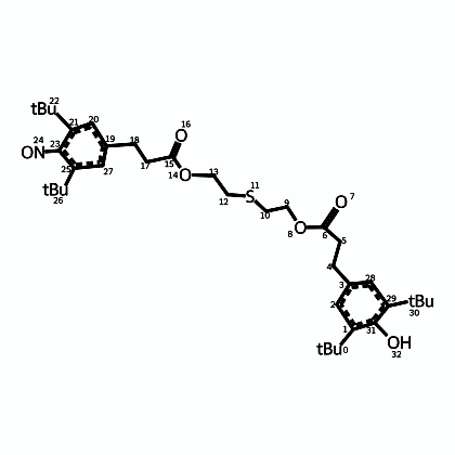 CC(C)(C)c1cc(CCC(=O)OCCSCCOC(=O)CCc2cc(C(C)(C)C)c(N=O)c(C(C)(C)C)c2)cc(C(C)(C)C)c1O